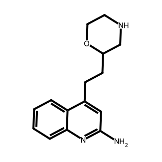 Nc1cc(CCC2CNCCO2)c2ccccc2n1